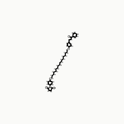 O=C(/C=C/c1ccc(OCCCCCCCCCCCCCCCCCCOc2ccc(N3C(=O)C=CC3=O)cc2)cc1)c1ccccc1